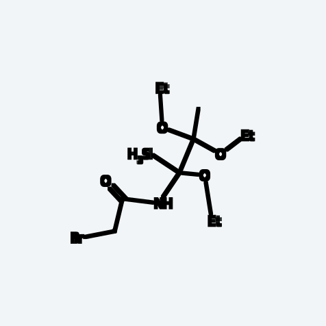 CCOC([SiH3])(NC(=O)CBr)C(C)(OCC)OCC